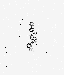 O=C(N[C@H]1CC[C@@H]2CN(c3cccc(C(F)(F)F)n3)C[C@@H]21)c1ccc(-c2cccs2)o1